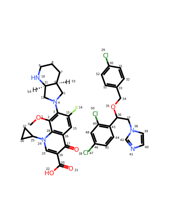 COc1c(N2C[C@@H]3CCCN[C@@H]3C2)c(F)cc2c(=O)c(C(=O)O)cn(C3CC3)c12.Clc1ccc(COC(Cn2ccnc2)c2ccc(Cl)cc2Cl)cc1